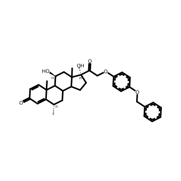 C[C@H]1CC2C([C@@H](O)CC3(C)C2CC[C@]3(O)C(=O)COc2ccc(OCc3ccccc3)cc2)C2(C)C=CC(=O)C=C12